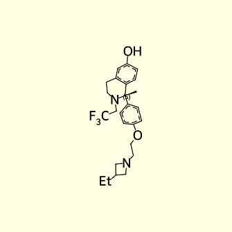 CCC1CN(CCOc2ccc([C@@]3(C)c4ccc(O)cc4CCN3CC(F)(F)F)cc2)C1